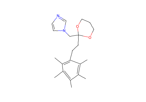 Cc1c(C)c(C)c(CCC2(Cn3ccnc3)OCCCO2)c(C)c1C